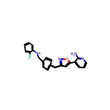 Nc1ncccc1-c1cc(Cc2ccc(CNc3ccccc3F)cc2)no1